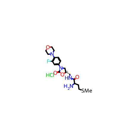 CSCCC(N)C(=O)NC[C@H]1CN(c2ccc(N3CCOCC3)c(F)c2)C(=O)O1.Cl